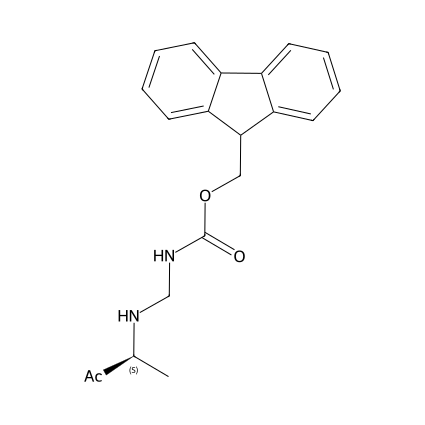 CC(=O)[C@H](C)NCNC(=O)OCC1c2ccccc2-c2ccccc21